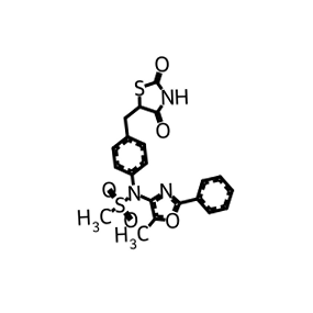 Cc1oc(-c2ccccc2)nc1N(c1ccc(CC2SC(=O)NC2=O)cc1)S(C)(=O)=O